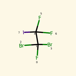 FC(Br)(Br)C(F)(F)I